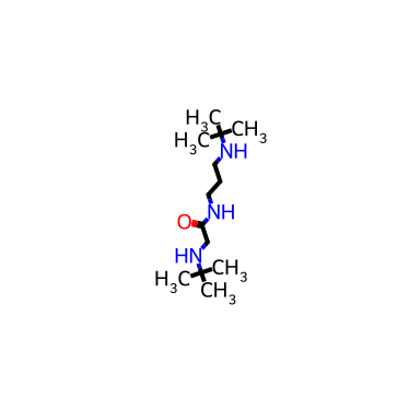 CC(C)(C)NCCCNC(=O)CNC(C)(C)C